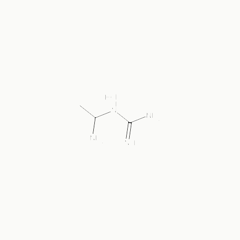 CC(N)NC(=N)N.Cl